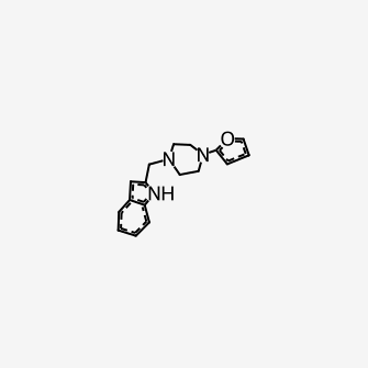 c1coc(N2CCN(Cc3cc4ccccc4[nH]3)CC2)c1